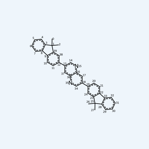 CC1(C)c2ccccc2-c2ccc(-c3cnc4cc(-c5ccc6c(c5)C(C)(C)c5ccccc5-6)cnc4c3)cc21